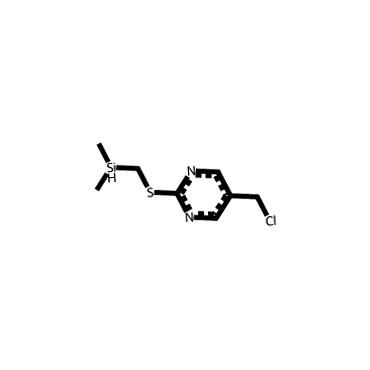 C[SiH](C)CSc1ncc(CCl)cn1